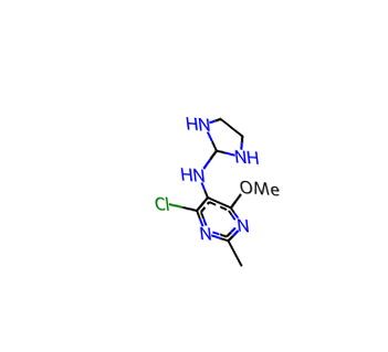 COc1nc(C)nc(Cl)c1NC1NCCN1